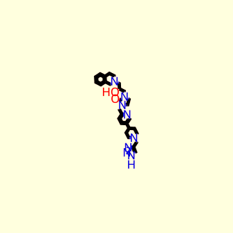 O=C1N(Cc2ccc(C3CCN(Cc4c[nH]nn4)CC3)cn2)CCN1CC(O)CN1CCc2ccccc2C1